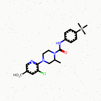 CC1CN(c2ncc(C(=O)O)cc2Cl)CCN1C(=O)Nc1ccc([Si](C)(C)C)cc1